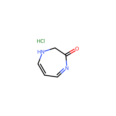 Cl.O=C1CNC=CC=N1